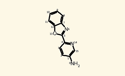 Nc1ccc(-c2nc3ccccc3o2)nc1